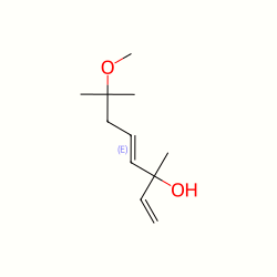 C=CC(C)(O)/C=C/CC(C)(C)OC